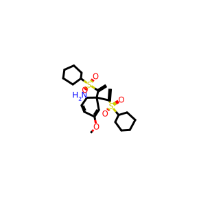 C=C(C1(C(=C)S(=O)(=O)C2CCCCC2)C=C(OC)C=CC1N)S(=O)(=O)C1CCCCC1